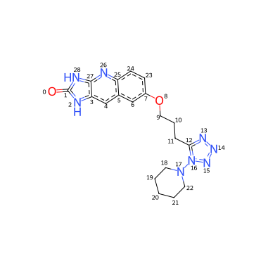 O=c1[nH]c2cc3cc(OCCCc4nnnn4N4CCCCC4)ccc3nc2[nH]1